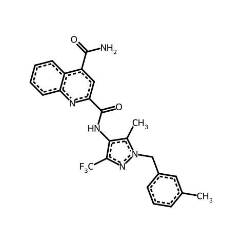 Cc1cccc(Cn2nc(C(F)(F)F)c(NC(=O)c3cc(C(N)=O)c4ccccc4n3)c2C)c1